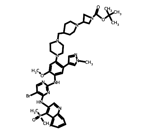 COc1cc(N2CCN(CC3CCN(C4CN(C(=O)OC(C)(C)C)C4)CC3)CC2)c(-c2cnn(C)c2)cc1Nc1ncc(Br)c(Nc2cnc3ccccc3c2P(C)(C)=O)n1